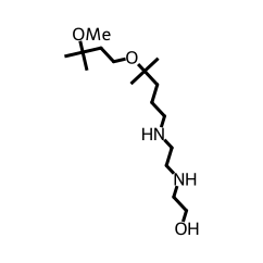 COC(C)(C)CCOC(C)(C)CCCNCCNCCO